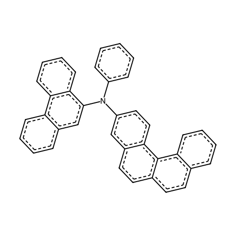 c1ccc(N(c2ccc3c(ccc4ccc5ccccc5c43)c2)c2cc3ccccc3c3ccccc23)cc1